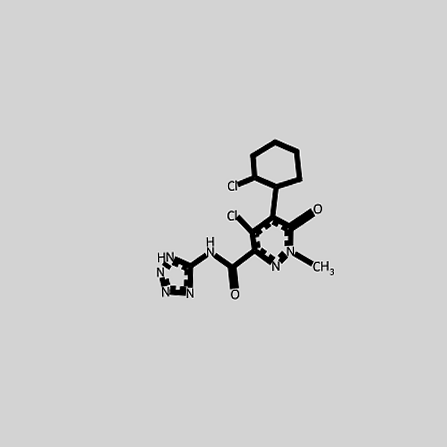 Cn1nc(C(=O)Nc2nnn[nH]2)c(Cl)c(C2CCCCC2Cl)c1=O